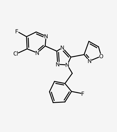 Fc1ccccc1Cn1nc(-c2ncc(F)c(Cl)n2)nc1-c1ccon1